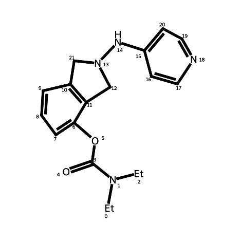 CCN(CC)C(=O)Oc1cccc2c1CN(Nc1ccncc1)C2